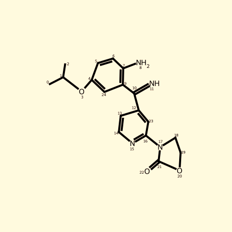 CC(C)Oc1ccc(N)c(C(=N)c2ccnc(N3CCOC3=O)c2)c1